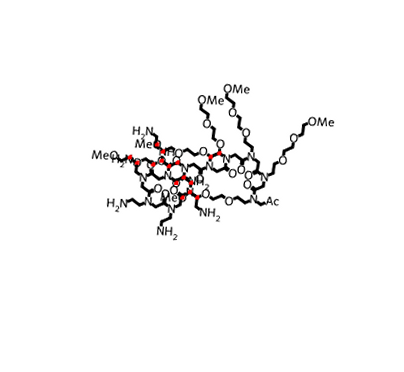 COCCOCCOCCN(CC(C)=O)C(=O)CN(CCOCCOCCOC)C(=O)CN(CCOCCOCCOC)C(=O)CN(CCOCCOCCOC)C(=O)CN(CCOCCOCCOC)C(=O)CN(CCOCCOCCOC)C(=O)CN(CCN)C(=O)CN(CCN)C(=O)CN(CCN)C(=O)CN(CCN)C(=O)CN(CCN)C(=O)CNCCN